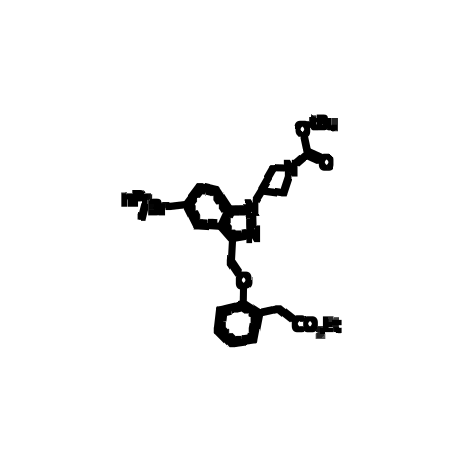 CCCC.CCOC(=O)Cc1ccccc1OCc1nn(C2CN(C(=O)OC(C)(C)C)C2)c2ccc(Br)cc12